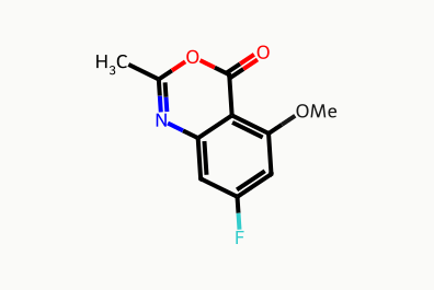 COc1cc(F)cc2nc(C)oc(=O)c12